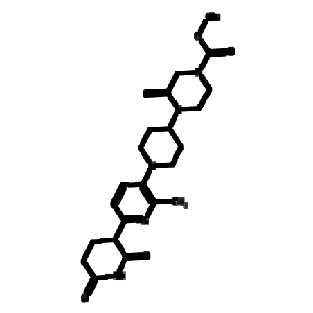 Cc1nc(C2CCC(=O)NC2=O)ccc1N1CCC(N2CCN(C(=O)OC(C)(C)C)CC2=O)CC1